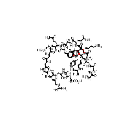 CC(C)[C@H](NC(=O)[C@H](CCC(N)=O)NC(=O)[C@H](CCC(N)=O)NC(=O)[C@H](Cc1c[nH]cn1)NC(=O)[C@H](C)NC(=O)[C@H](CCCCN)NC(=O)[C@H](CCCNC(=N)N)NC(=O)CNC(=O)[C@H](C)NC(=O)[C@H](C)N)C(=O)N[C@@H](Cc1ccccc1)C(=O)N[C@@H](CCC(N)=O)C(=O)N[C@@H](CC(=O)O)C(=O)NCC(=O)NCC(=O)N[C@@H](C)C(=O)N[C@@H](CCCNC(=N)N)C(=O)NCC(=O)N[C@@H](C)C(=O)N[C@@H](C)C(=O)O